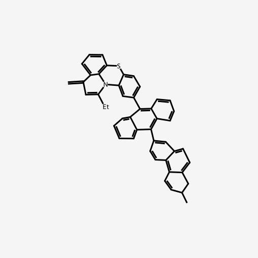 C=c1cc(CC)n2c3cc(-c4c5ccccc5c(-c5ccc6c7c(ccc6c5)CC(C)C=C7)c5ccccc45)ccc3sc3cccc1c3-2